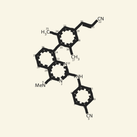 CNc1nc(Nc2ccc(C#N)cc2)nc2c(-c3c(C)cc(C=CC#N)cc3C)cccc12